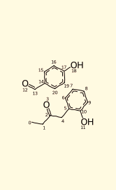 CCC(=O)Cc1ccccc1O.O=Cc1ccc(O)cc1